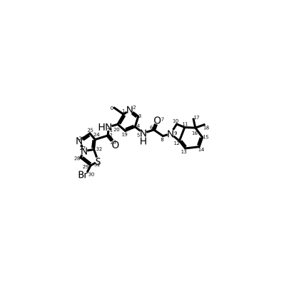 Cc1ncc(NC(=O)CN2CC3C2=CC=CC3(C)C)cc1NC(=O)c1cnn2cc(Br)sc12